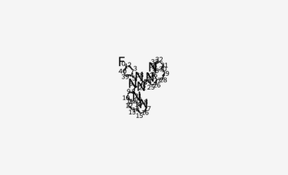 Fc1ccc(-c2nc(-c3ccc4ccc5cccnc5c4n3)nc(-c3ccc4ccc5cccnc5c4n3)n2)cc1